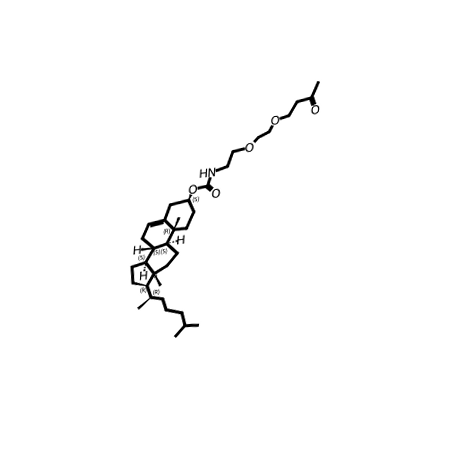 CC(=O)CCOCCOCCNC(=O)O[C@H]1CC[C@@]2(C)C(=CC[C@H]3[C@@H]4CC[C@H]([C@H](C)CCCC(C)C)[C@@]4(C)CC[C@@H]32)C1